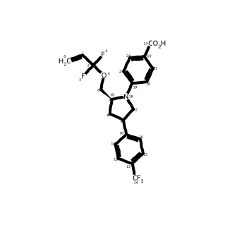 C=CC(F)(F)OC[C@@H]1CC(c2ccc(C(F)(F)F)cc2)CN1c1ccc(C(=O)O)cc1